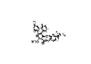 CSc1nc(-c2ccc(Cl)cc2)c(-c2ccccc2)c2nn(Cc3ccc(C(C)(F)F)nc3)c(=O)n12